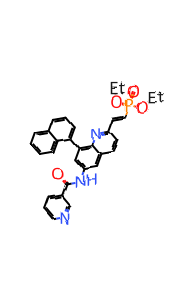 CCOP(=O)(C=Cc1ccc2cc(NC(=O)c3cccnc3)cc(-c3cccc4ccccc34)c2n1)OCC